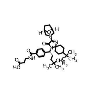 CC(C)(C)CC[C@H](c1ccc(C(=O)NCCC(=O)O)cc1)N1C(=O)C(N2C[C@H]3CC[C@@H](C2)O3)=NC12CCC(C(C)(C)C)CC2